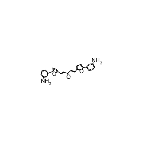 Nc1cccc(-c2ccc(/C=C/C(=O)/C=C/c3ccc(-c4cccc(N)c4)o3)o2)c1